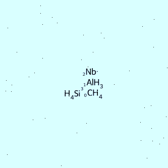 C.[AlH3].[Nb].[SiH4]